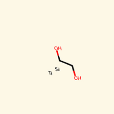 OCCO.[Si].[Ti]